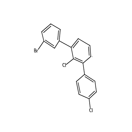 Clc1ccc(-c2[c]ccc(-c3cccc(Br)c3)c2Cl)cc1